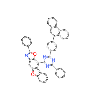 c1ccc(-c2nc(-c3ccc(-c4cc5ccccc5c5ccccc45)cc3)nc(-c3c4oc(-c5ccccc5)nc4cc4oc5ccccc5c34)n2)cc1